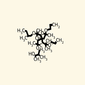 C=CCOC(C)(C)CC(CC(C)(C)OCC=C)(CC(C)(C)OCC(C)CC)CC(C)(C)OCC(C)C(C)O